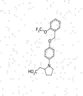 O=C(O)CC1CCCN1c1ccc(OCc2ccccc2OC(F)(F)F)cc1